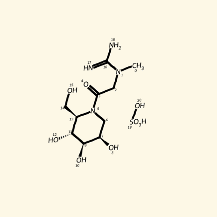 CN(CC(=O)N1C[C@@H](O)[C@@H](O)[C@H](O)[C@H]1CO)C(=N)N.O=S(=O)(O)O